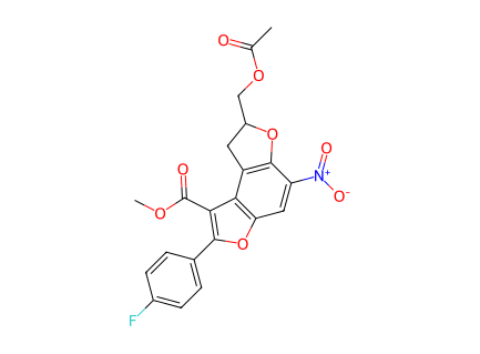 COC(=O)c1c(-c2ccc(F)cc2)oc2cc([N+](=O)[O-])c3c(c12)CC(COC(C)=O)O3